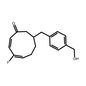 O=C1/C=C\C(F)=C/CCC(Cc2ccc(CO)cc2)C1